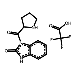 O=C(C1CCCN1)n1c(=O)[nH]c2ccccc21.O=C(O)C(F)(F)F